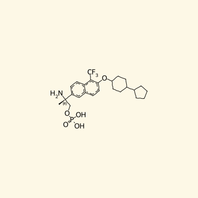 C[C@](N)(COP(=O)(O)O)c1ccc2c(C(F)(F)F)c(OC3CCC(C4CCCC4)CC3)ccc2c1